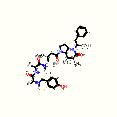 CC[C@H](C)[C@@H]([C@@H](CC(=O)N1CCCC1[C@H](OC)[C@@H](C)C(=O)NC(Cc1ccccc1)C(=O)O)OC)N(C)C(=O)C(NC(=O)C(C(C)C)N(C)Cc1ccc(O)cc1)C(C)C